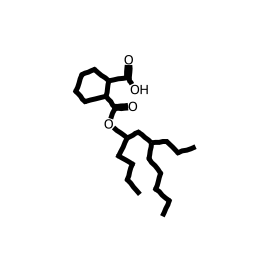 CCCCCC(CCC)CC(CCCC)OC(=O)C1CCCCC1C(=O)O